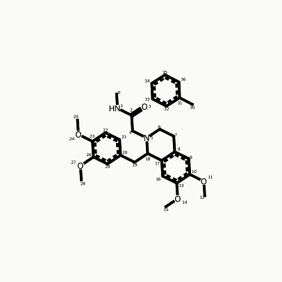 CNC(=O)CN1CCc2cc(OC)c(OC)cc2C1Cc1ccc(OC)c(OC)c1.Cc1ccccc1